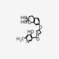 Cc1cc(O)c(C(=O)N2CC(Oc3ccc4c(c3)O[B-](O)(O)CC4)C2)cn1